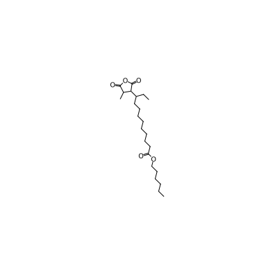 CCCCCCOC(=O)CCCCCCCCC(CC)C1C(=O)OC(=O)C1C